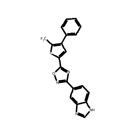 FC(F)(F)c1sc(-c2nc(-c3ccc4[nH]cnc4c3)no2)cc1-c1ccccc1